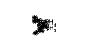 COCCN(CCN(C(=O)OC(C)(C)C)[C@@H](CC(=O)OC)c1ccc(-c2ccc(OCc3ccccc3)c3ccccc23)cc1)C(=O)OCC1c2ccccc2-c2ccccc21